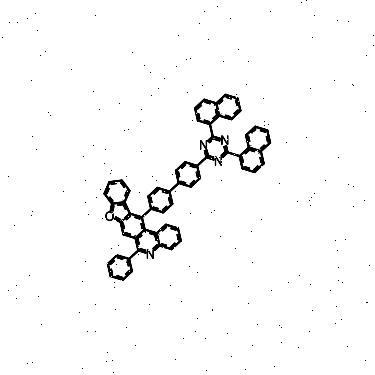 c1ccc(-c2nc3ccccc3c3c(-c4ccc(-c5ccc(-c6nc(-c7cccc8ccccc78)nc(-c7cccc8ccccc78)n6)cc5)cc4)c4c(cc23)oc2ccccc24)cc1